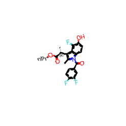 CCCOC(=O)[C@H](C)c1c(C)n(C(=O)c2ccc(F)c(F)c2)c2ccc(O)c(F)c12